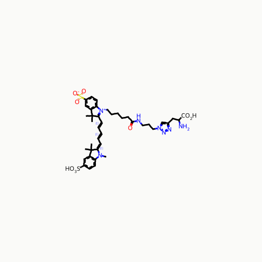 CN1/C(=C/C=C/C=C/C2=[N+](CCCCCC(=O)NCCCn3cc(CC(N)C(=O)O)nn3)c3ccc(S(=O)(=O)[O-])cc3C2(C)C)C(C)(C)c2cc(S(=O)(=O)O)ccc21